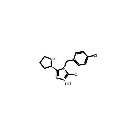 Cl.Clc1ccc(Cn2c(Cl)nnc2[C@H]2CCCN2)cc1